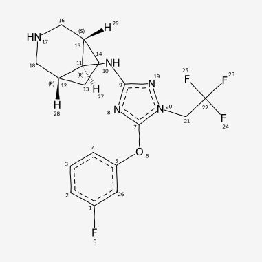 Fc1cccc(Oc2nc(N[C@H]3[C@@H]4CC[C@H]3CNC4)nn2CC(F)(F)F)c1